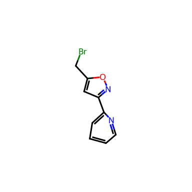 BrCc1cc(-c2ccccn2)no1